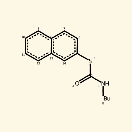 CCC(C)NC(=O)Sc1ccc2ccccc2c1